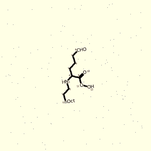 CCCCCCCCCCNC(CCCC=O)C(=O)OO